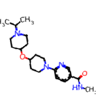 CNC(=O)c1ccc(N2CCC(OC3CCN(C(C)C)CC3)CC2)nc1